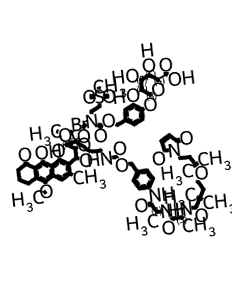 COc1c2c(c(O)c3c4c(c(C)cc13)C1OC3(CNC(=O)OCc5ccc(NC(=O)[C@H](C)NC(=O)[C@H](C)NC(=O)C(C)(C)CCOC(C)(C)CCN6C(=O)C=CC6=O)cc5)OC1[C@@](OC)(O4)[C@]3(CBr)OCN(CCS(C)(=O)=O)C(=O)OCc1ccc(O[C@@H]3O[C@H](C(=O)O)[C@@H](O)[C@H](O)[C@H]3O)cc1)C(=O)CCC2